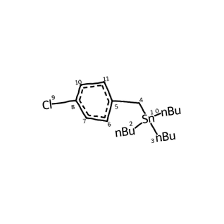 CCC[CH2][Sn]([CH2]CCC)([CH2]CCC)[CH2]c1ccc(Cl)cc1